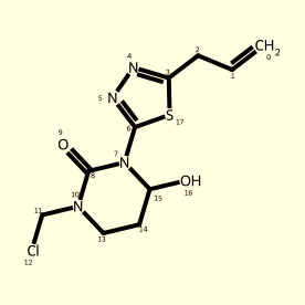 C=CCc1nnc(N2C(=O)N(CCl)CCC2O)s1